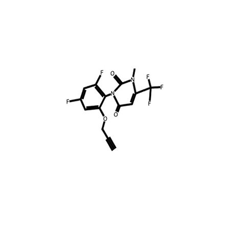 C#CCOc1cc(F)cc(F)c1-n1c(=O)cc(C(F)(F)F)n(C)c1=O